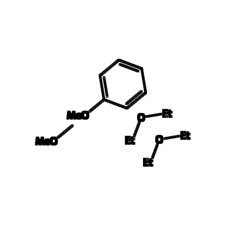 CCOCC.CCOCC.COC.COc1ccccc1